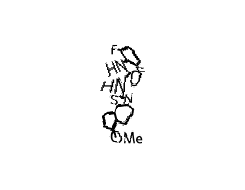 COc1cccc2c1CCCc1nc(NC(=O)Nc3c(F)cccc3F)sc1-2